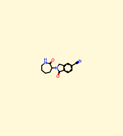 N#Cc1ccc2c(c1)CN(C1CCCCNC1=O)C2=O